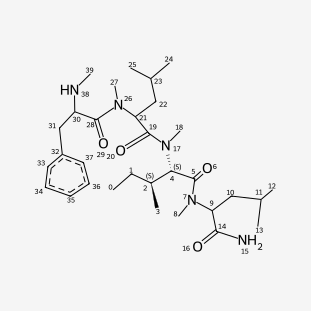 CC[C@H](C)[C@@H](C(=O)N(C)C(CC(C)C)C(N)=O)N(C)C(=O)C(CC(C)C)N(C)C(=O)C(Cc1ccccc1)NC